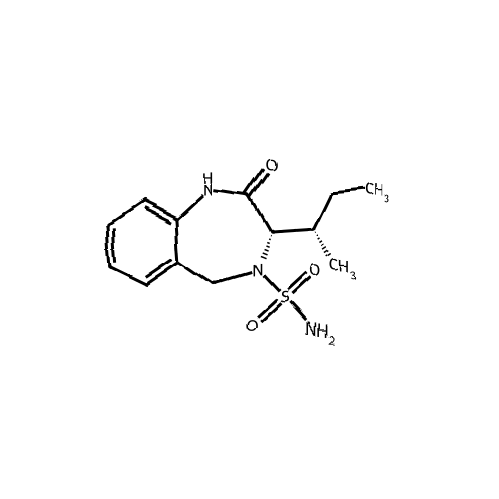 CC[C@H](C)[C@H]1C(=O)Nc2ccccc2CN1S(N)(=O)=O